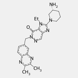 CCn1c(N2CCC[C@@H](N)C2)nc2cnn(Cc3ccc4nc(C)c(C)nc4c3)c(=O)c21